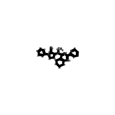 CN(c1nc(-c2ccccn2)nc2c1CCCC2)C1CCN(c2ccccc2)C1=O